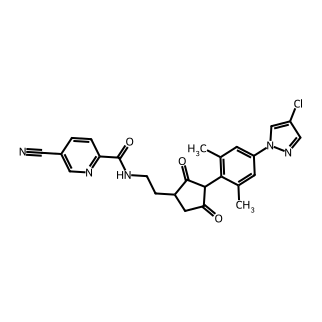 Cc1cc(-n2cc(Cl)cn2)cc(C)c1C1C(=O)CC(CCNC(=O)c2ccc(C#N)cn2)C1=O